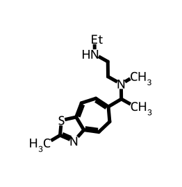 CCNCCN(C)C(C)C1=CC=c2sc(C)nc2=CC1